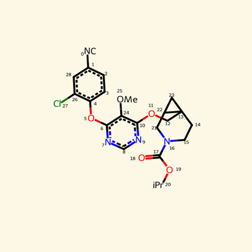 [C-]#[N+]c1ccc(Oc2ncnc(OCC34CCN(C(=O)OC(C)C)CC3C4)c2OC)c(Cl)c1